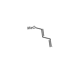 [CH]=CC=CO[CH2]